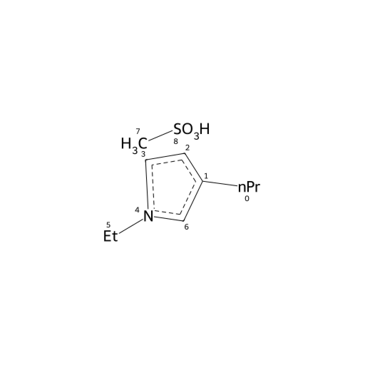 CCCc1ccn(CC)c1.CS(=O)(=O)O